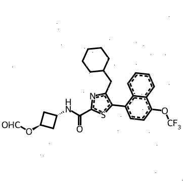 O=CO[C@H]1C[C@H](NC(=O)c2nc(CC3CCCCC3)c(-c3ccc(OC(F)(F)F)c4ccccc34)s2)C1